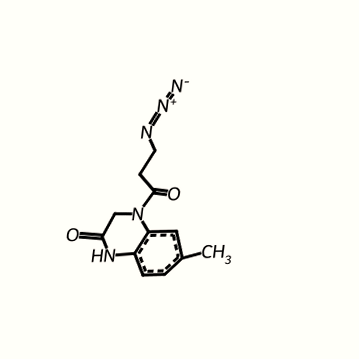 Cc1ccc2c(c1)N(C(=O)CCN=[N+]=[N-])CC(=O)N2